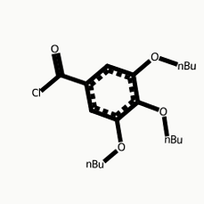 CCCCOc1cc(C(=O)Cl)cc(OCCCC)c1OCCCC